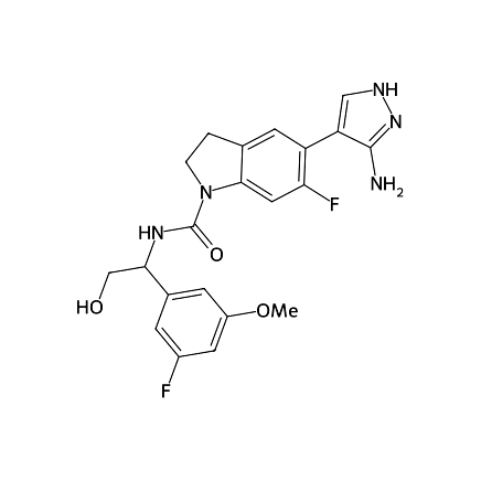 COc1cc(F)cc(C(CO)NC(=O)N2CCc3cc(-c4c[nH]nc4N)c(F)cc32)c1